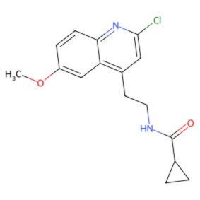 COc1ccc2nc(Cl)cc(CCNC(=O)C3CC3)c2c1